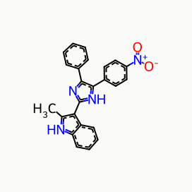 Cc1[nH]c2ccccc2c1-c1nc(-c2ccccc2)c(-c2ccc([N+](=O)[O-])cc2)[nH]1